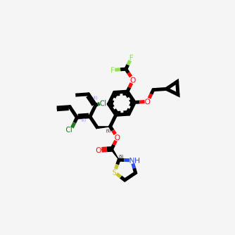 C=C/C(Cl)=C(C[C@H](OC(=O)[C@H]1NCCS1)c1ccc(OC(F)F)c(OCC2CC2)c1)\C(Cl)=C/C